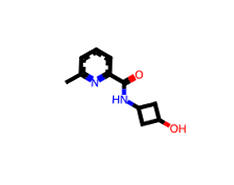 Cc1cccc(C(=O)NC2CC(O)C2)n1